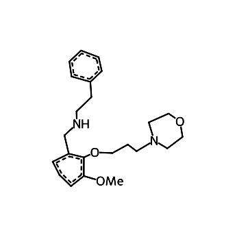 COc1cccc(CNCCc2ccccc2)c1OCCCN1CCOCC1